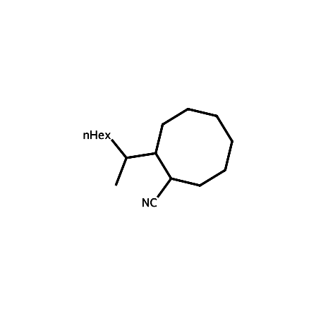 CCCCCCC(C)C1CCCCCCC1C#N